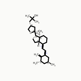 C=C1/C(=C\C=C2/CCC[C@@]3(C)[C@H]2CC[C@@H]3[C@]2(C)C[C@@H](CC(C)(C)O)CO2)C[C@@H](C)C[C@@H]1C